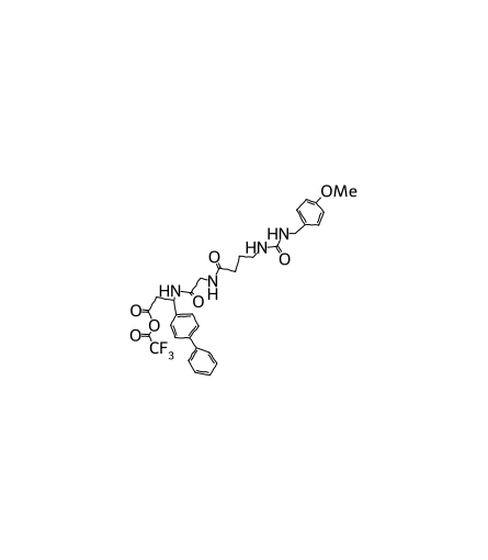 COc1ccc(CNC(=O)NCCCC(=O)NCC(=O)NC(CC(=O)OC(=O)C(F)(F)F)c2ccc(-c3ccccc3)cc2)cc1